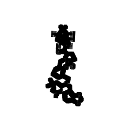 C[C@@H]1[C@@H](NC(=O)C2CCS(=O)(=O)N2Cc2cccc(CN(Cc3cccc4c3OCO4)[C@H](CN(C)C)CC(C)(C)C)c2)C[C@H]2C[C@@H]1C2(C)C